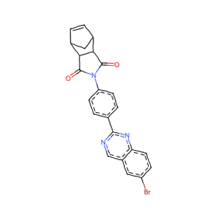 O=C1C2C3C=CC(C3)C2C(=O)N1c1ccc(-c2ncc3cc(Br)ccc3n2)cc1